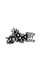 [2H]C1([2H])Oc2cc3c(cc2O1)[C@@]([2H])(c1cc(OC)c(O)c(OC)c1)[C@H]1C(=O)OC[C@@H]1[C@@H]3O[C@@H]1O[C@H]2[C@@H](O[C@H](C)OC2([2H])[2H])[C@H](O)[C@H]1O